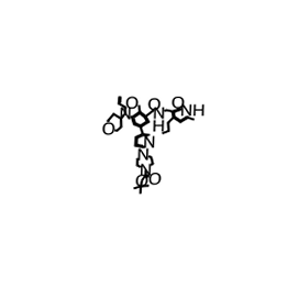 C=CC(=O)N(c1cc(-c2ccc(N3CCN(C(=O)OC(C)(C)C)CC3)nc2)cc(C(=O)NCc2c(CCC)cc(C)[nH]c2=O)c1C)C1CCOCC1